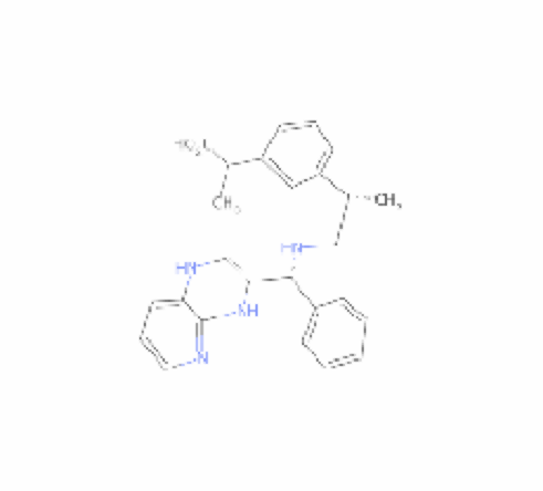 CC(C(=O)O)c1cccc([C@H](C)CN[C@H](c2ccccc2)[C@H]2CNc3cccnc3N2)c1